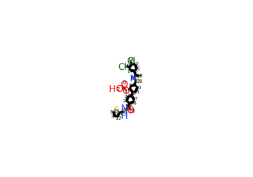 O=C(O)Oc1cc(-c2nc(-c3ccc(Cl)c(Cl)c3)cs2)ccc1-c1ccc(C(=O)NCc2cccs2)cc1